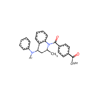 COC(=O)c1ccc(C(=O)N2c3ccccc3C(N(C(C)=O)c3ccccc3)CC2C)cc1